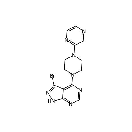 Brc1n[nH]c2ncnc(N3CCN(c4cnccn4)CC3)c12